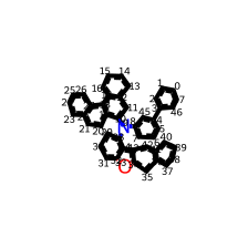 c1ccc(-c2cccc(N(c3cc4ccccc4c4c3ccc3ccccc34)c3cccc4oc5cc6ccccc6cc5c34)c2)cc1